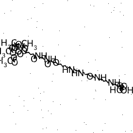 CC(=O)N[C@H]1[C@H](OCCCCC(=O)NCCCNC(=O)CCOCCCCCCNCCCNCCCOCCNCCCCCNCCCOP(=O)(O)O)O[C@H](COC(C)=O)[C@H](OC(C)=O)[C@@H]1OC(C)=O